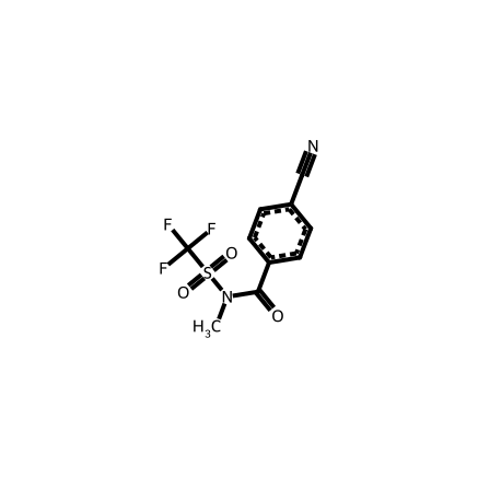 CN(C(=O)c1ccc(C#N)cc1)S(=O)(=O)C(F)(F)F